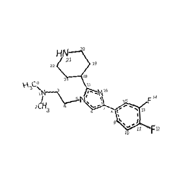 CN(C)CCn1cc(-c2ccc(F)c(F)c2)nc1C1CCNCC1